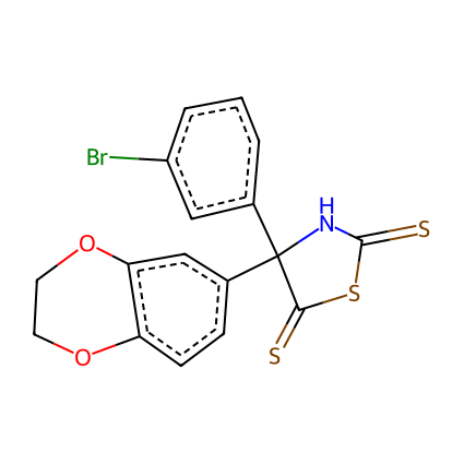 S=C1NC(c2cccc(Br)c2)(c2ccc3c(c2)OCCO3)C(=S)S1